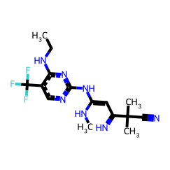 CCNc1nc(N/C(=C/C(=N)C(C)(C)C#N)NC)ncc1C(F)(F)F